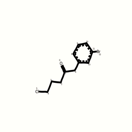 O=C(CCCCl)Cc1cccc(Br)c1